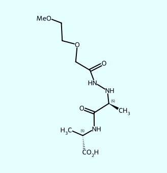 COCCOCC(=O)NN[C@@H](C)C(=O)N[C@@H](C)C(=O)O